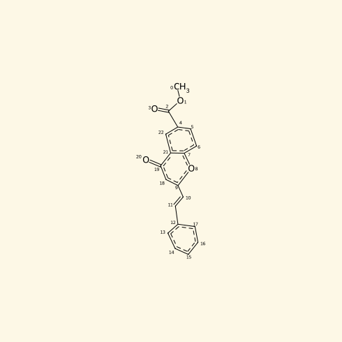 COC(=O)c1ccc2oc(C=Cc3ccccc3)cc(=O)c2c1